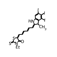 CCN1C(=O)\C(=C/C=C/C=C/C=C2\Nc3cc(I)c(I)c(I)c3C2C)SC1=S